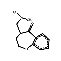 CN(C)CC1CCOc2ccccc2C1=O